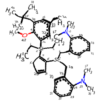 CC[Si](CC)(C1=[C]([Sc]([CH2]c2ccccc2N(C)C)[CH2]c2ccccc2N(C)C)C=CC1)c1cc(C)cc(C(C)(C)C)c1OC